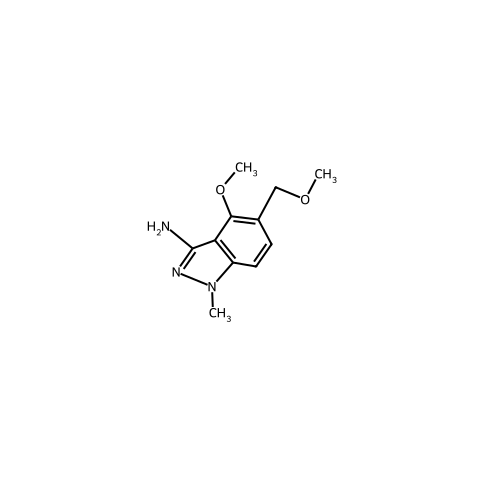 COCc1ccc2c(c(N)nn2C)c1OC